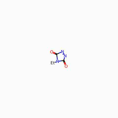 CCN1C(=O)N=NC1=O